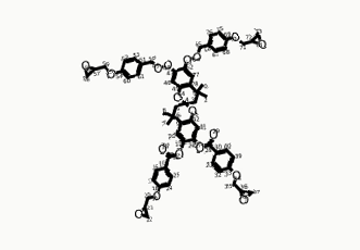 CC1(C)CC2(CC(C)(C)c3cc(OC(=O)c4ccc(OCC5CO5)cc4)c(OC(=O)c4ccc(OCC5CO5)cc4)cc3O2)Oc2cc(OOCc3ccc(OCC4CO4)cc3)c(OOCc3ccc(OCC4CO4)cc3)cc21